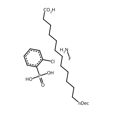 CCCCCCCCCCCCCCCCCCCCCC(=O)O.NF.O=P(O)(O)c1ccccc1Cl